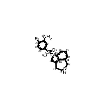 Nc1cc(S(=O)(=O)n2cc3c4c(cccc42)CNCC3)ccc1F